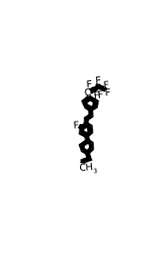 CCCC1CCC(c2ccc(CCc3ccc(OC(F)(F)C(F)C(F)(F)F)cc3)c(F)c2)CC1